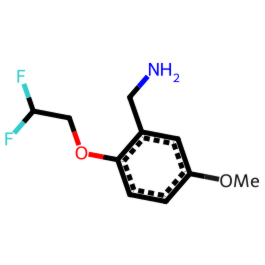 COc1ccc(OCC(F)F)c(CN)c1